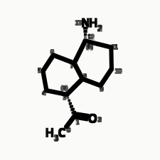 CC(=O)[C@@H]1CCCC2C1CCC[C@H]2N